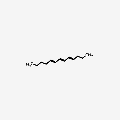 [CH2]CC/C=C/C=C/C=C/CCCC